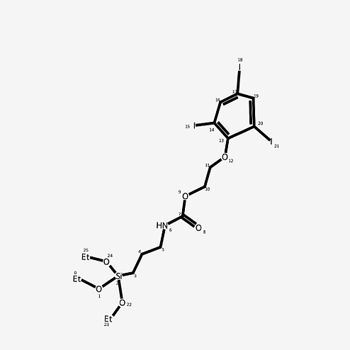 CCO[Si](CCCNC(=O)OCCOc1c(I)cc(I)cc1I)(OCC)OCC